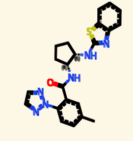 Cc1ccc(-n2nccn2)c(C(=O)N[C@@H]2CCC[C@@H]2Nc2nc3ccccc3s2)c1